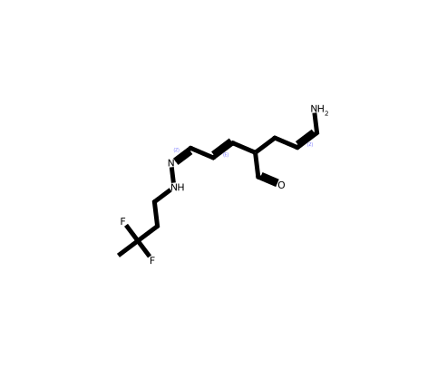 CC(F)(F)CCN/N=C\C=C\C(C=O)C/C=C\N